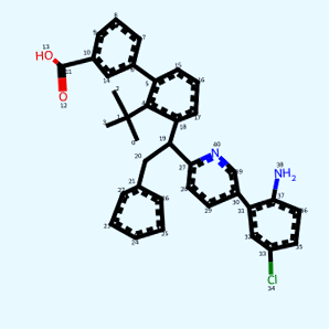 CC(C)(C)c1c(-c2cccc(C(=O)O)c2)cccc1C(Cc1ccccc1)c1ccc(-c2cc(Cl)ccc2N)cn1